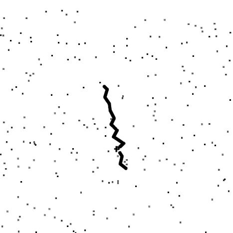 CCCCCCCCCC[P]CCC